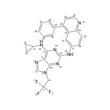 FC(F)(F)Cn1cnc2c(NC3CC3)nc(Nc3ccc4nccc(-c5ccccc5)c4c3)nc21